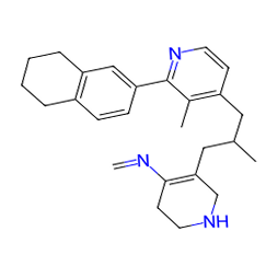 C=NC1=C(CC(C)Cc2ccnc(-c3ccc4c(c3)CCCC4)c2C)CNCC1